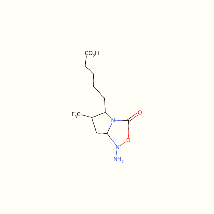 NN1OC(=O)N2C(CCCCC(=O)O)C(C(F)(F)F)CC12